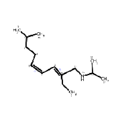 CC/C(=C\C=C/CCC(C)C)CNC(C)C